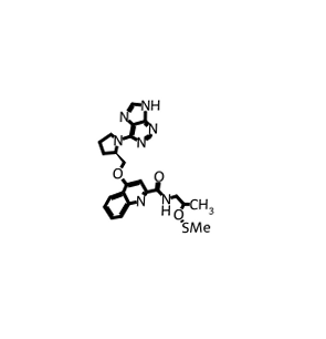 CSOC(C)CNC(=O)c1cc(OC[C@H]2CCCN2c2ncnc3[nH]cnc23)c2ccccc2n1